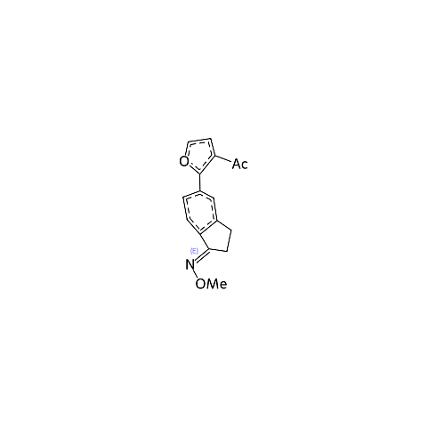 CO/N=C1\CCc2cc(-c3occc3C(C)=O)ccc21